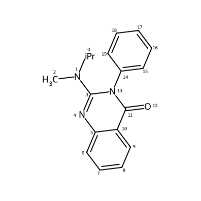 CC(C)N(C)c1nc2ccccc2c(=O)n1-c1ccccc1